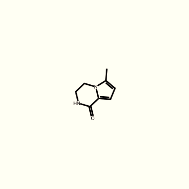 Cc1ccc2n1CCNC2=O